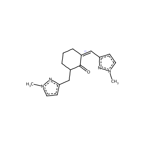 Cn1ccc(/C=C2/CCCC(Cc3ccn(C)n3)C2=O)n1